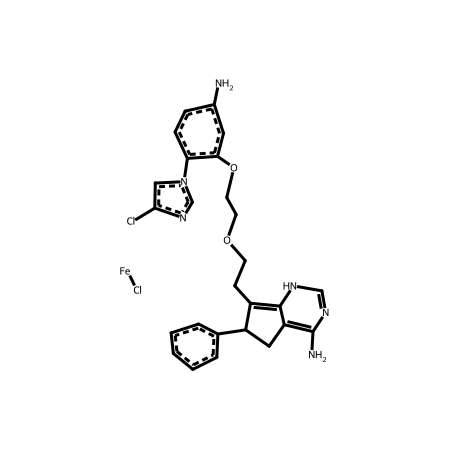 NC1=C2CC(c3ccccc3)C(CCOCCOc3cc(N)ccc3-n3cnc(Cl)c3)=C2NC=N1.[Cl][Fe]